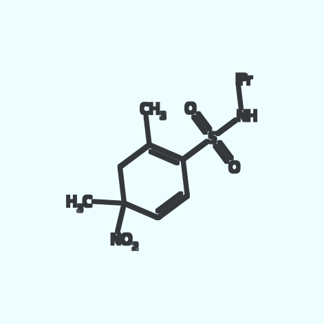 CC1=C(S(=O)(=O)NC(C)C)C=CC(C)([N+](=O)[O-])C1